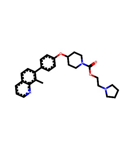 Cc1c(-c2ccc(OC3CCN(C(=O)OCCN4CCCC4)CC3)cc2)ccc2cccnc12